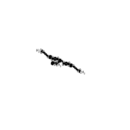 C=CC(=O)OCCCCCCOc1ccc(OC(=O)C2CCC(C(=O)OCCc3ccc(OC(=O)C4CCC(C(=O)Oc5ccc(OCCCCCCOC(=O)C=C)cc5)CC4)c(/C=N/N(C)c4nc5ccccc5s4)c3)CC2)cc1